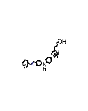 OCCCc1cn(-c2ccc(Nc3ccc(/C=C/c4ccccn4)cc3)cc2)nn1